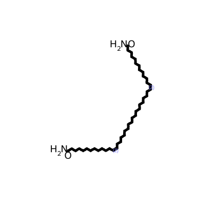 NC(=O)CCCCCCCCCCC/C=C\CCCCCCCCCCCCCCCCC/C=C\CCCCCCCCCCCC(N)=O